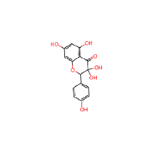 O=C1c2c(O)cc(O)cc2OC(c2ccc(O)cc2)C1(O)O